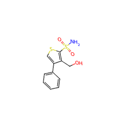 NS(=O)(=O)c1scc(-c2ccccc2)c1CO